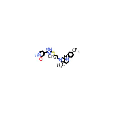 Cn1c(SCCCN2C[C@@H]3N(c4ccc(C(F)(F)F)cc4)CC[C@]3(C)C2)nnc1-c1cc[nH]c(=O)c1